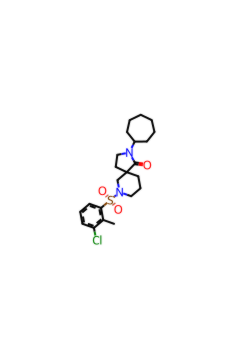 Cc1c(Cl)cccc1S(=O)(=O)N1CCCC2(CCN(C3CCCCCC3)C2=O)C1